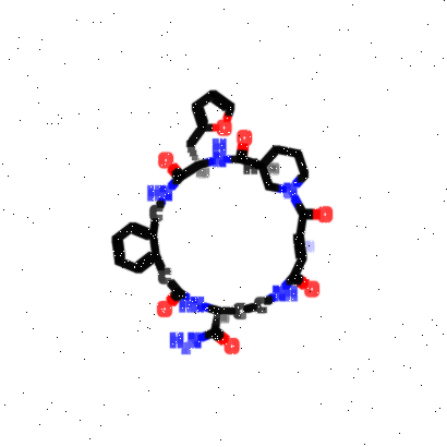 NC(=O)[C@@H]1CCNC(=O)/C=C/C(=O)N2CCC[C@H](C2)C(=O)N[C@@H](Cc2ccco2)C(=O)NCc2ccccc2CC(=O)N1